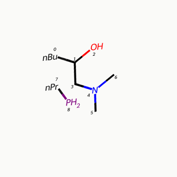 CCCCC(O)CN(C)C.CCCP